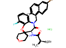 CN[C@@H](C)C(=O)N[C@H]1C(=O)N(Cc2c(OC)ccc3cc(Br)ccc23)c2cccc(F)c2OC12CCOCC2.Cl